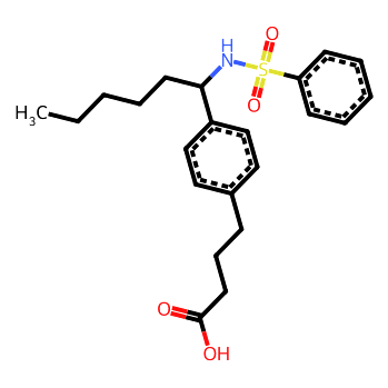 CCCCCC(NS(=O)(=O)c1ccccc1)c1ccc(CCCC(=O)O)cc1